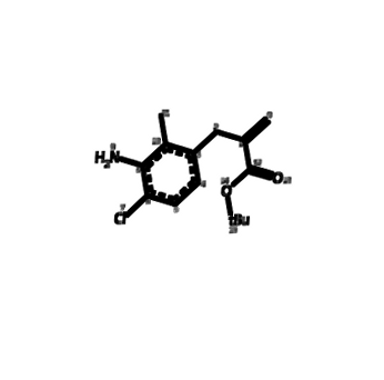 C=C(Cc1ccc(Cl)c(N)c1C)C(=O)OC(C)(C)C